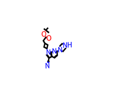 CC(C)(C)OC(=O)CC1CC(n2cc(C#N)c3ccc(N4CCNCC4)nc32)C1